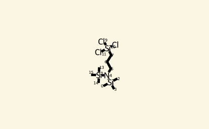 C[Si](C)(C)N(CCC[Si](Cl)(Cl)Cl)[Si](C)(C)C